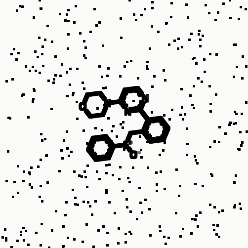 [O-][S+](Cc1ccccc1-c1nccc(N2CCOCC2)n1)c1ccccc1